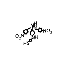 N=C(NCc1ccc([N+](=O)[O-])cc1)N(Cc1ccc([N+](=O)[O-])cc1)C1CCC(NC2CC(S)C2)CC1